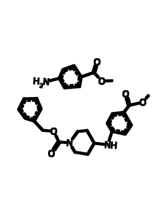 COC(=O)c1ccc(N)cc1.COC(=O)c1ccc(NC2CCN(C(=O)OCc3ccccc3)CC2)cc1